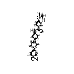 [3H]C([3H])([3H])Oc1ccc(C(=O)Nc2ccc(N3CCN(c4ccc(C#N)cn4)CC3)cc2)cc1